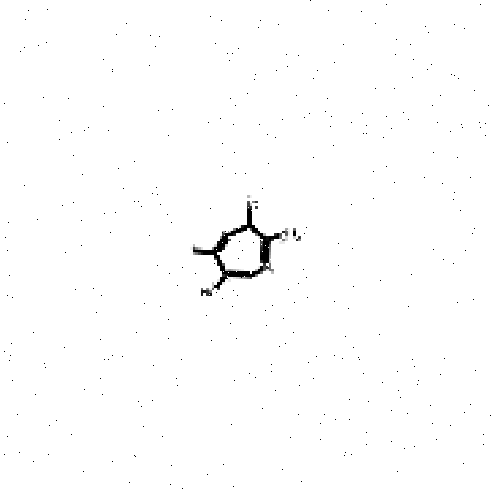 CCC1C=C(C)C(C#N)=CN=C1N